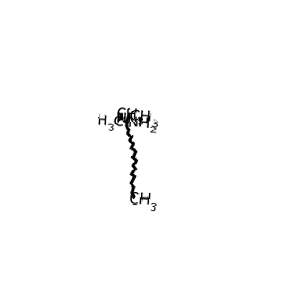 CCCCCCCCCCCCCCCCCCC(N)(CC)N(C)C